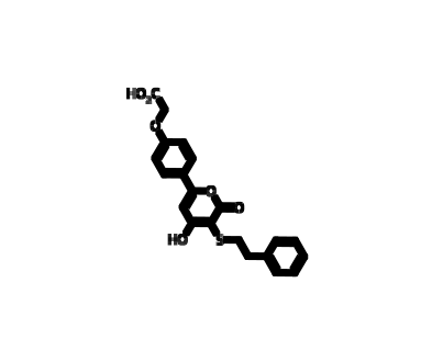 O=C(O)COc1ccc(-c2cc(O)c(SCCc3ccccc3)c(=O)o2)cc1